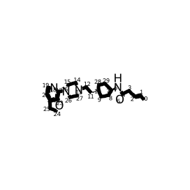 CC=CCC(=O)N[C@H]1CC[C@H](CCN2CCN(c3nccc4c3OCC4)CC2)CC1